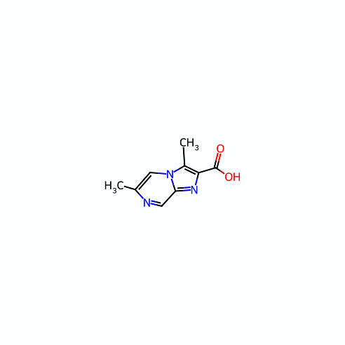 Cc1cn2c(C)c(C(=O)O)nc2cn1